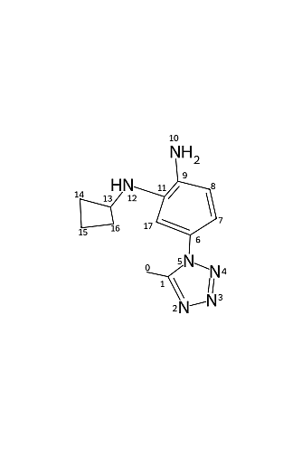 Cc1nnnn1-c1ccc(N)c(NC2CCC2)c1